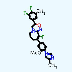 COc1cc(C2=C(F)C3=NOC(c4cc(C)c(F)c(F)c4)CN3CCC2)ccc1-n1cnc(C)c1